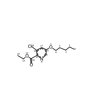 CCCCCOc1cnc(C(=O)OCC)c(Cl)c1